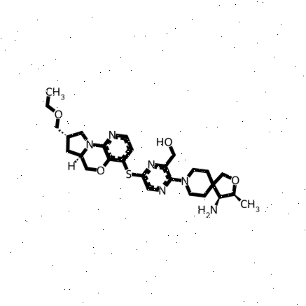 CCOC[C@H]1C[C@@H]2COc3c(Sc4cnc(N5CCC6(CC5)CO[C@@H](C)[C@H]6N)c(CO)n4)ccnc3N2C1